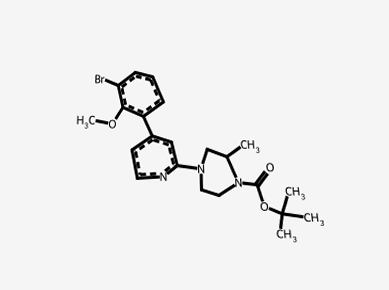 COc1c(Br)cccc1-c1ccnc(N2CCN(C(=O)OC(C)(C)C)C(C)C2)c1